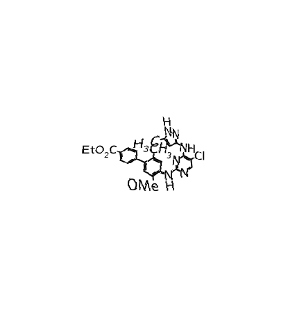 CCOC(=O)c1ccc(-c2cc(OC)c(Nc3ncc(Cl)c(Nc4cc(C)[nH]n4)n3)cc2C)cc1